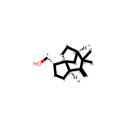 C=C1[C@H]2CC[C@H](CO)[C@]23CC[C@H](C3)C1(C)C